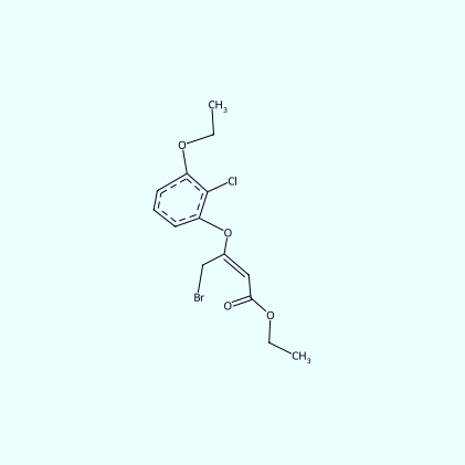 CCOC(=O)C=C(CBr)Oc1cccc(OCC)c1Cl